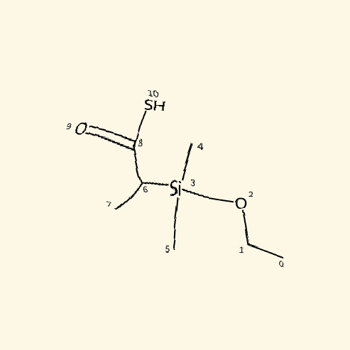 CCO[Si](C)(C)C(C)C(=O)S